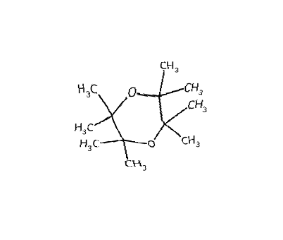 CC1(C)OC(C)(C)C(C)(C)OC1(C)C